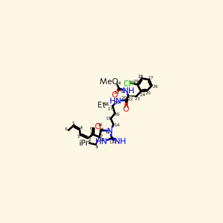 C=C(/C=C\C=C/C)[C@@]1(CC(C)C)NC(=N)N(CCC[C@H](CC)NC(=O)[C@H](Cc2ccccc2Cl)NC(=O)OC)C1=O